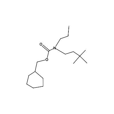 CCCN(CCC(C)(C)C)C(=O)OCC1CCCCC1